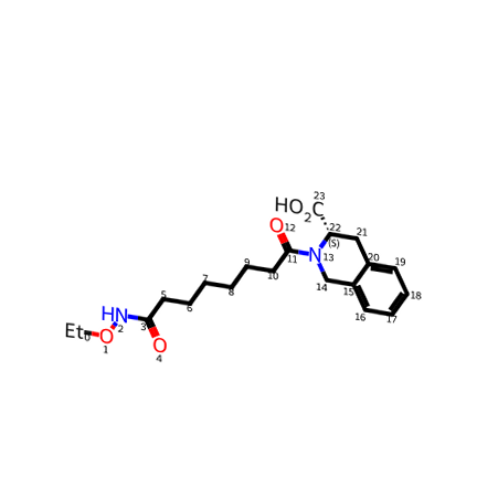 CCONC(=O)CCCCCCC(=O)N1Cc2ccccc2C[C@H]1C(=O)O